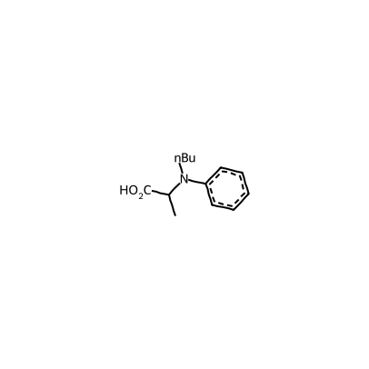 CCCCN(c1ccccc1)C(C)C(=O)O